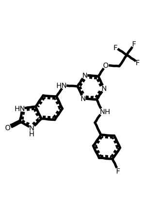 O=c1[nH]c2ccc(Nc3nc(NCc4ccc(F)cc4)nc(OCC(F)(F)F)n3)cc2[nH]1